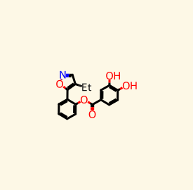 CCc1cnoc1-c1ccccc1OC(=O)c1ccc(O)c(O)c1